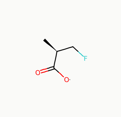 C[C@@H](CF)C([O])=O